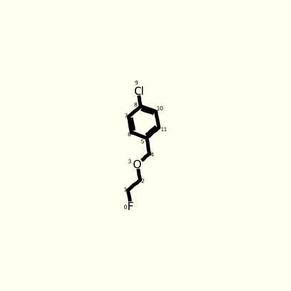 FCCOCc1ccc(Cl)cc1